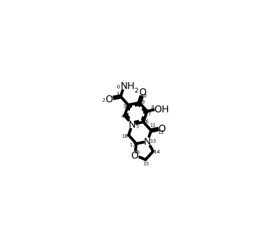 NC(=O)c1cn2c(c(O)c1=O)C(=O)N1CCOC1C2